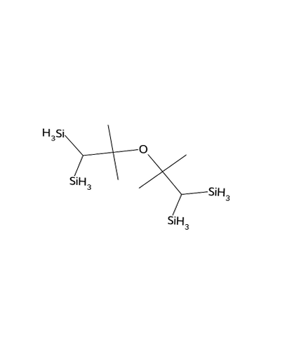 CC(C)(OC(C)(C)C([SiH3])[SiH3])C([SiH3])[SiH3]